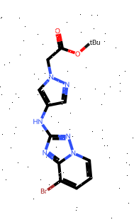 CC(C)(C)OC(=O)Cn1cc(Nc2nc3c(Br)cccn3n2)cn1